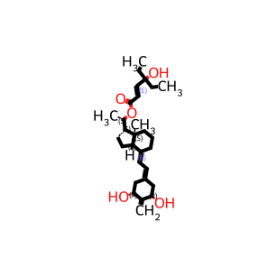 C=C1[C@H](O)CC(=C/C=C2\CCC[C@]3(C)[C@@H]([C@H](C)OC(=O)/C=C/C(O)(CC)CC)CC[C@@H]23)C[C@H]1O